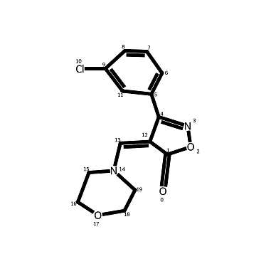 O=C1ON=C(c2cccc(Cl)c2)C1=CN1CCOCC1